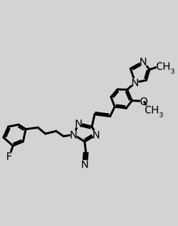 COc1cc(/C=C/c2nc(C#N)n(CCCCc3cccc(F)c3)n2)ccc1-n1cnc(C)c1